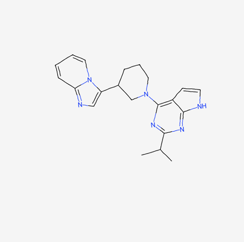 CC(C)c1nc(N2CCCC(c3cnc4ccccn34)C2)c2cc[nH]c2n1